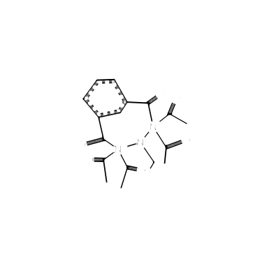 CCN1[N+](C(C)=O)(C(C)=O)C(=O)c2cccc(c2)C(=O)[N+]1(C(C)=O)C(C)=O